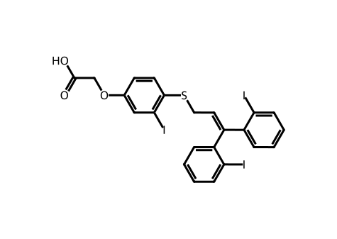 O=C(O)COc1ccc(SCC=C(c2ccccc2I)c2ccccc2I)c(I)c1